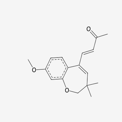 COc1ccc2c(c1)OCC(C)(C)C=C2C=CC(C)=O